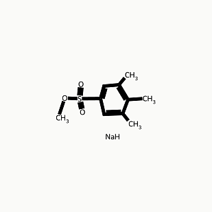 COS(=O)(=O)c1cc(C)c(C)c(C)c1.[NaH]